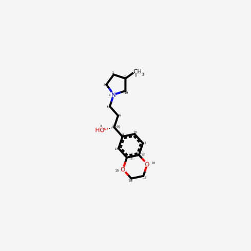 CC1CCN(CC[C@@H](O)c2ccc3c(c2)OCCO3)C1